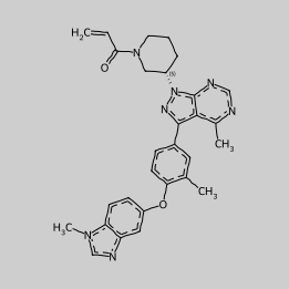 C=CC(=O)N1CCC[C@H](n2nc(-c3ccc(Oc4ccc5c(c4)ncn5C)c(C)c3)c3c(C)ncnc32)C1